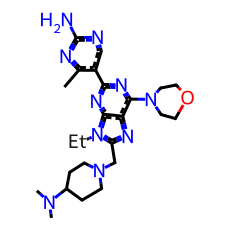 CCn1c(CN2CCC(N(C)C)CC2)nc2c(N3CCOCC3)nc(-c3cnc(N)nc3C)nc21